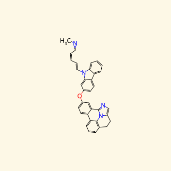 C\N=C/C=C\C=C\n1c2ccccc2c2ccc(Oc3ccc4c(c3)c3ncc5n3c3c(cccc43)CC5)cc21